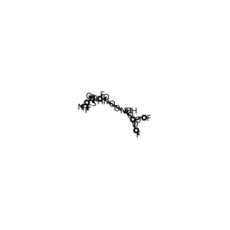 CC1(C)C(=O)N(c2ccc(C#N)c(C(F)(F)F)c2)C(=S)N1c1ccc(C(=O)NCCOCCOCCNCC(O)COc2ccc(OCc3ccc(F)cc3)c(OCc3ccc(F)cc3)c2)c(F)c1